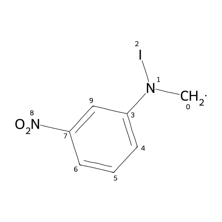 [CH2]N(I)c1cccc([N+](=O)[O-])c1